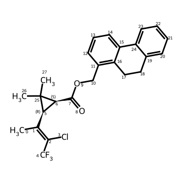 CC(=C(Cl)C(F)(F)F)[C@@H]1[C@H](C(=O)OCc2cccc3c2CCc2ccccc2-3)C1(C)C